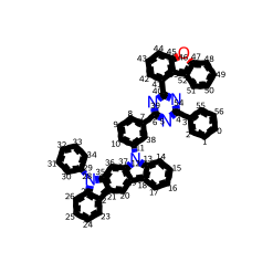 c1ccc(-c2nc(-c3cccc(-n4c5ccccc5c5cc6c7ccccc7n(-c7ccccc7)c6cc54)c3)nc(-c3cccc4oc5ccccc5c34)n2)cc1